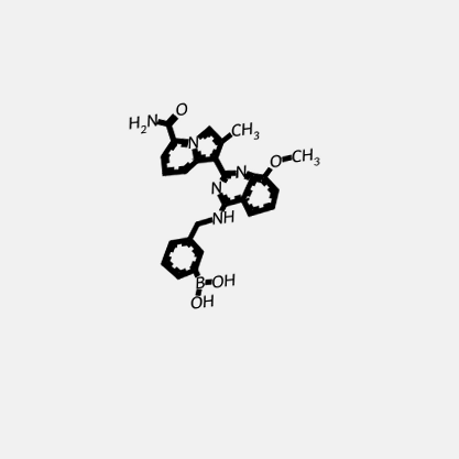 COc1cccc2c(NCc3cccc(B(O)O)c3)nc(-c3c(C)cn4c(C(N)=O)cccc34)nc12